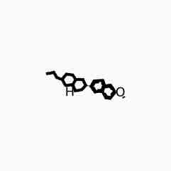 CCCC1CCC2C[C@H](c3ccc4cc(OC)ccc4c3)CC[C@@H]2C1